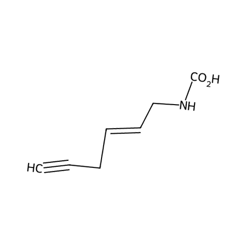 C#CCC=CCNC(=O)O